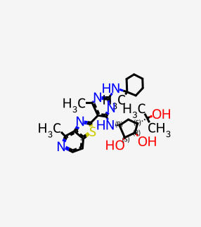 Cc1nc(NC2(C)CCCCC2)nc(N[C@@H]2C[C@H](C(C)(C)O)[C@@H](O)[C@H]2O)c1-c1nc2c(C)nccc2s1